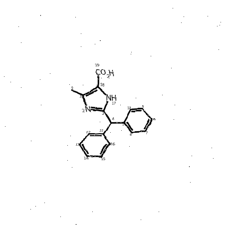 Cc1nc(C(c2ccccc2)c2ccccc2)[nH]c1C(=O)O